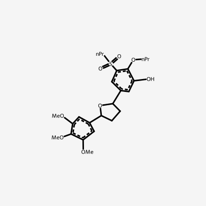 CCCOc1c(O)cc(C2CCC(c3cc(OC)c(OC)c(OC)c3)O2)cc1S(=O)(=O)CCC